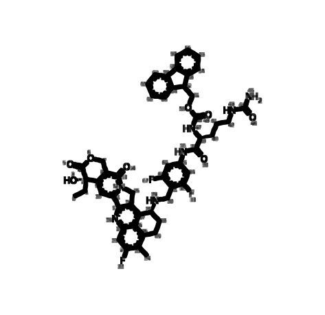 CC[C@@]1(O)C(=O)OCc2c1cc1n(c2=O)Cc2c-1nc1cc(F)c(C)c3c1c2[C@@H](NCc1c(F)cc(NC(=O)[C@H](CCCNC(N)=O)NC(=O)OCC2c4ccccc4-c4ccccc42)cc1F)CC3